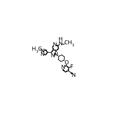 CCNc1cc2c(cn1)c(-c1cnn(C)c1)nn2[C@H]1CC[C@@H](Oc2nccc(C#N)c2F)CC1